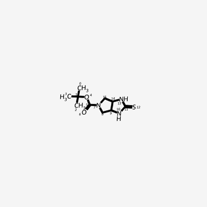 CC(C)(C)OC(=O)N1CC2NC(=S)NC2C1